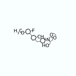 COc1ccc(F)c(-c2ccc(Cc3ccc(N4CC5(CC4CO)OCCO5)cc3)c(C)c2)c1